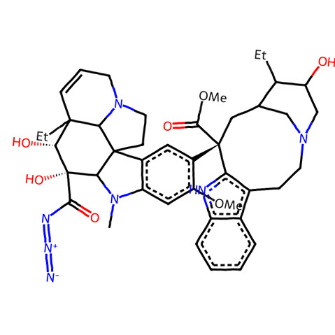 CCC1C(O)CN2CCc3c([nH]c4ccccc34)[C@@](C(=O)OC)(c3cc4c(cc3OC)N(C)C3C45CCN4CC=CC(CC)(C45)[C@@H](O)[C@]3(O)C(=O)N=[N+]=[N-])CC1C2